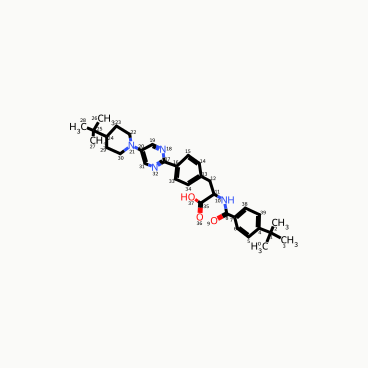 CC(C)(C)c1ccc(C(=O)NC(Cc2ccc(-c3ncc(N4CCC(C(C)(C)C)CC4)cn3)cc2)C(=O)O)cc1